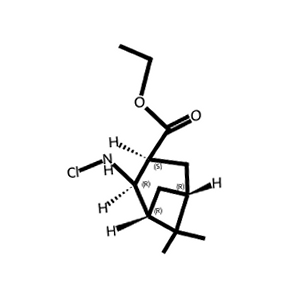 CCOC(=O)[C@H]1C[C@H]2C[C@@H]([C@H]1NCl)C2(C)C